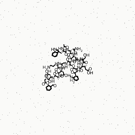 CC(=O)N[C@@H](Cc1c[nH]c2ccccc12)C(=O)N[C@H](CC(N)=O)C(=O)N[C@@H](CC(N)=O)C(=O)N[C@H](C(=O)NCC(=O)N[C@@H](CCCN)C(=O)N[C@@H](CC(=O)O)C(=O)N[C@H](C)C(=O)N[C@@H](CC(=O)O)C(=O)NCC(=O)Oc1ccccc1C=O)[C@@H](C)OC(=O)[C@H](CC(=O)c1ccccc1N)NC(=O)[C@@H](NC(=O)[C@H](N)CO)[C@H](C)CC(=O)O